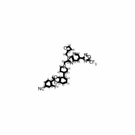 CC1(c2ccc(C#N)cc2F)Oc2cccc(C3CCN(Cc4nc5cc(-c6noc(C(F)(F)F)n6)cnc5n4CC4CCO4)CC3)c2O1